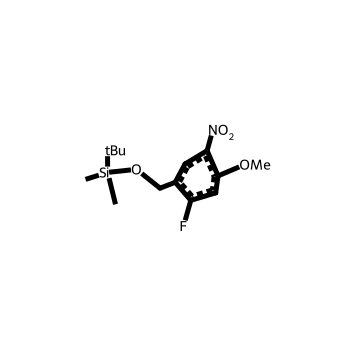 COc1cc(F)c(CO[Si](C)(C)C(C)(C)C)cc1[N+](=O)[O-]